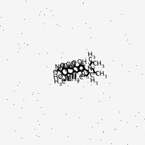 CC(C)CN(CC(C)C)C1CCN(C)c2c1cc(O)c1c2C[C@@H]2C[C@@H]3[C@H](N(C)C)C(O)=C(C(N)=O)C(=O)[C@@]3(O)C(O)=C2C1=O